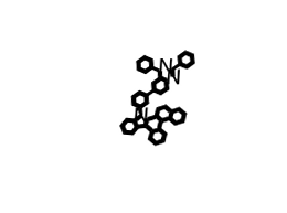 c1ccc(-c2nc(-c3ccccc3)c3cc(-c4cccc(-n5c6ccccc6c6c7ccccc7c7c8ccccc8ccc7c65)c4)ccc3n2)cc1